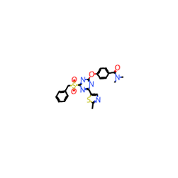 Cc1ncc(-c2nc(Oc3ccc(C(=O)N(C)C)cc3)nc(S(=O)(=O)Cc3ccccc3)n2)s1